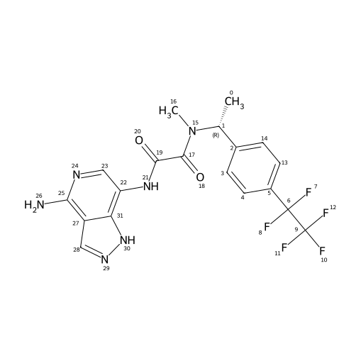 C[C@H](c1ccc(C(F)(F)C(F)(F)F)cc1)N(C)C(=O)C(=O)Nc1cnc(N)c2cn[nH]c12